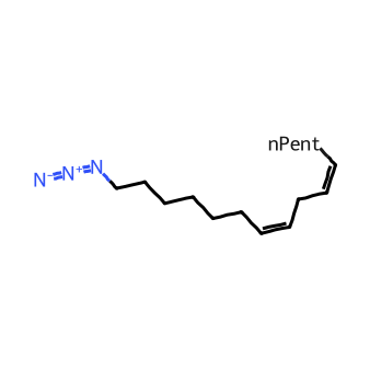 CCCCC/C=C\C/C=C\CCCCCCN=[N+]=[N-]